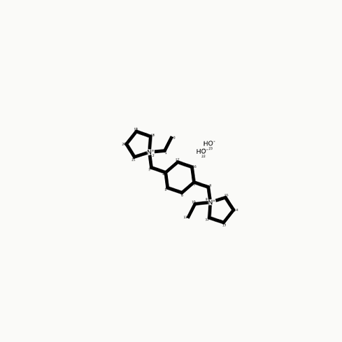 CC[N+]1(CC2CCC(C[N+]3(CC)CCCC3)CC2)CCCC1.[OH-].[OH-]